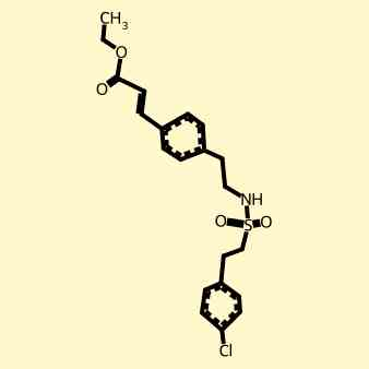 CCOC(=O)C=Cc1ccc(CCNS(=O)(=O)CCc2ccc(Cl)cc2)cc1